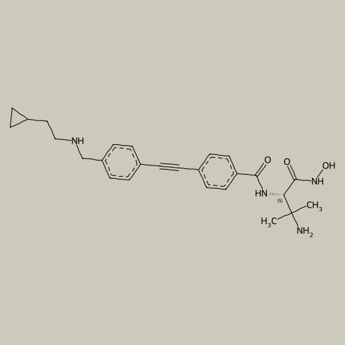 CC(C)(N)[C@H](NC(=O)c1ccc(C#Cc2ccc(CNCCC3CC3)cc2)cc1)C(=O)NO